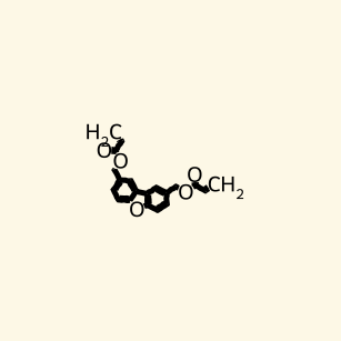 C=CC(=O)OCc1ccc2oc3ccc(COC(=O)C=C)cc3c2c1